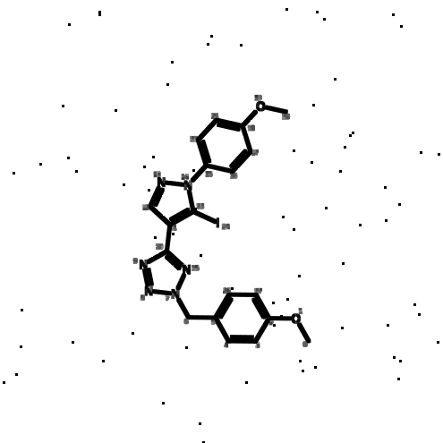 COc1ccc(Cn2nnc(-c3cnn(-c4ccc(OC)cc4)c3I)n2)cc1